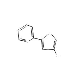 O=Cc1csc(-c2ccccn2)c1